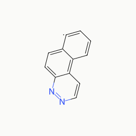 [c]1cccc2c1ccc1nnccc12